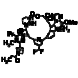 C=CC(=O)N1CC[C@H](C(=O)N(C)[C@H](C(=O)N[C@H]2Cc3cc(C(F)F)cc(n3)-c3ccc4c(c3)c(c(-c3cccnc3[C@H](C)OC)n4CC)CC(C)(C)COC(=O)[C@@H]3CCCN(N3)C2=O)C(C)C)C1